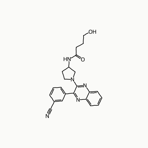 N#Cc1cccc(-c2nc3ccccc3nc2N2CCC(NC(=O)CCCO)C2)c1